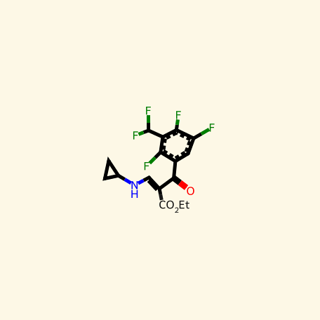 CCOC(=O)C(=CNC1CC1)C(=O)c1cc(F)c(F)c(C(F)F)c1F